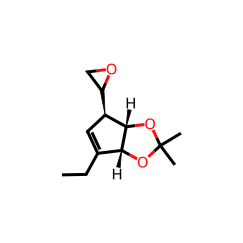 CCC1=C[C@@H](C2CO2)[C@@H]2OC(C)(C)O[C@H]12